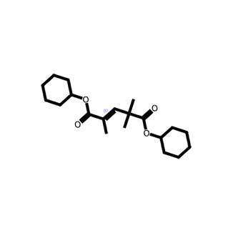 C/C(=C\C(C)(C)C(=O)OC1CCCCC1)C(=O)OC1CCCCC1